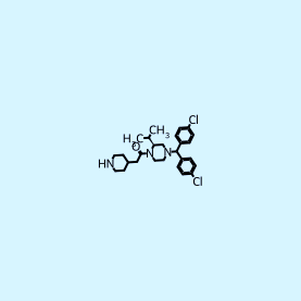 CC(C)[C@H]1CN(C(c2ccc(Cl)cc2)c2ccc(Cl)cc2)CCN1C(=O)CC1CCNCC1